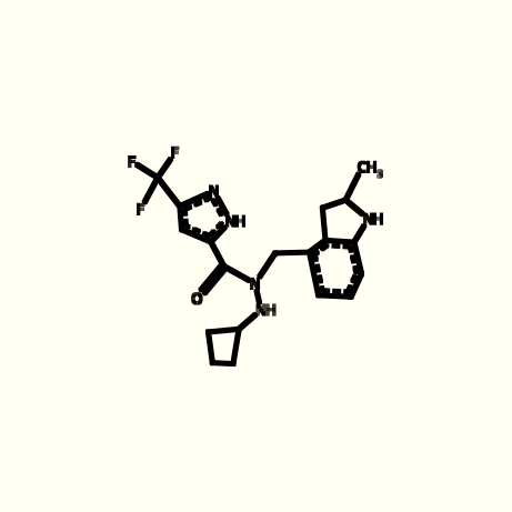 CC1Cc2c(CN(NC3CCC3)C(=O)c3cc(C(F)(F)F)n[nH]3)cccc2N1